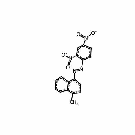 Cc1ccc(N=Nc2ccc([N+](=O)[O-])cc2[N+](=O)[O-])c2ccccc12